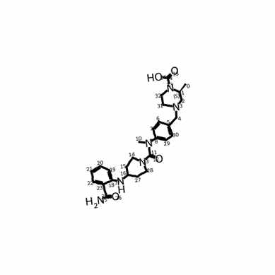 C[C@H]1CN(Cc2ccc(N(C)C(=O)N3CCC(Nc4ccccc4C(N)=O)CC3)cc2)CCN1C(=O)O